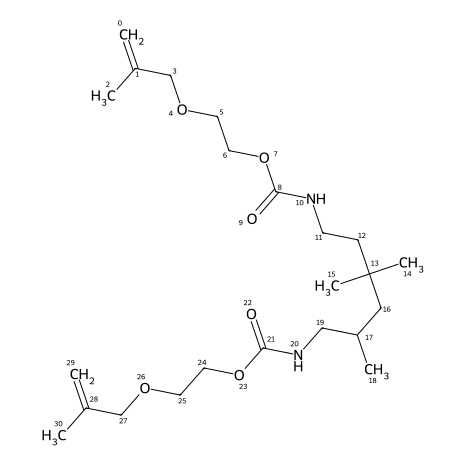 C=C(C)COCCOC(=O)NCCC(C)(C)CC(C)CNC(=O)OCCOCC(=C)C